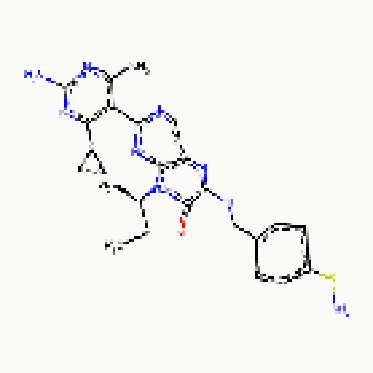 CC[C@@H](C)n1c(=O)c(NCc2ccc(SN)cc2)nc2cnc(-c3c(C)nc(N)nc3C3CC3)nc21